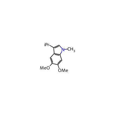 COc1cc2c(C(C)C)cn(C)c2cc1OC